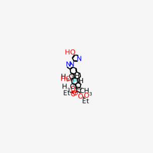 CCC(=O)OCC(=O)[C@@]1(OC(=O)CC)[C@@H](C)C[C@H]2[C@@H]3CCC4=Cc5c(cnn5-c5cncc(O)c5)C[C@]4(C)[C@@]3(F)[C@@H](O)C[C@@]21C